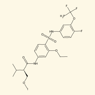 CCOc1cc(NC(=O)[C@@H](COI)C(C)C)ccc1S(=O)(=O)Nc1ccc(F)c(OC(F)(F)P)c1